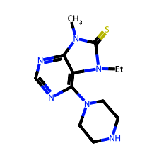 CCn1c(=S)n(C)c2ncnc(N3CCNCC3)c21